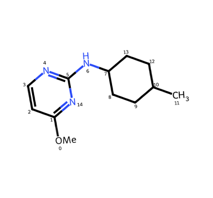 COc1ccnc(NC2CCC(C)CC2)n1